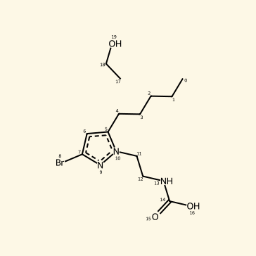 CCCCCc1cc(Br)nn1CCNC(=O)O.CCO